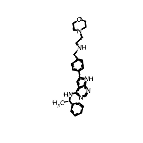 C[C@@H](Nc1ncnc2[nH]c(-c3ccc(CNCCN4CCOCC4)cc3)cc12)c1ccccc1